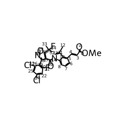 COC(=O)/C=C/c1cccc2c1c(C)cn2C(=O)c1c(-c2c(F)cc(Cl)cc2Cl)noc1C(C)(C)F